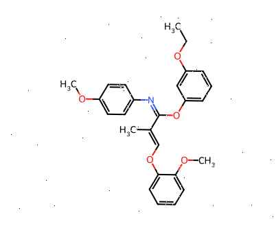 CCOc1cccc(OC(=Nc2ccc(OC)cc2)C(C)=COc2ccccc2OC)c1